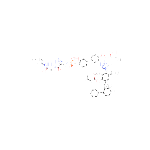 CC(C)(C)C(O)C(Oc1ccc(-c2ccccc2)cc1)n1cncn1.CCC(C)c1cc([N+](=O)[O-])cc([N+](=O)[O-])c1OC(=O)C=C(C)C.C[C@H](NC(=O)[C@H](C)NC(=O)[C@@H](N)CCP(C)(=O)O)C(=O)O.c1ccc(-c2ccccc2)cc1